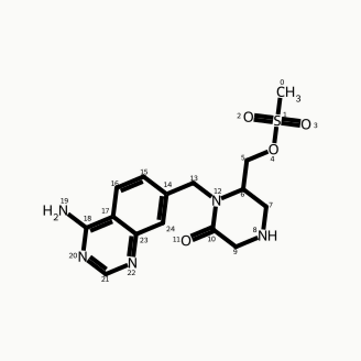 CS(=O)(=O)OCC1CNCC(=O)N1Cc1ccc2c(N)ncnc2c1